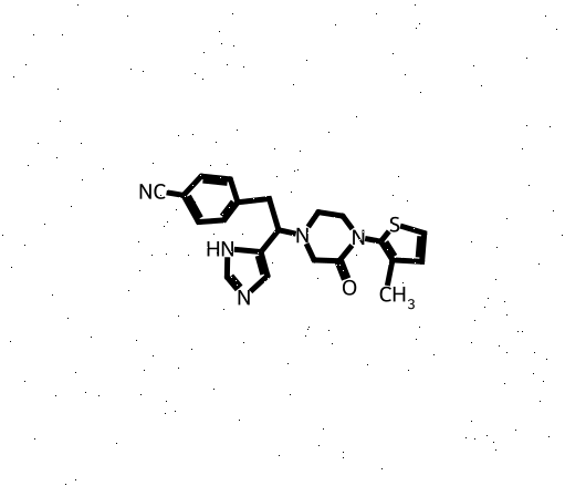 Cc1ccsc1N1CCN(C(Cc2ccc(C#N)cc2)c2cnc[nH]2)CC1=O